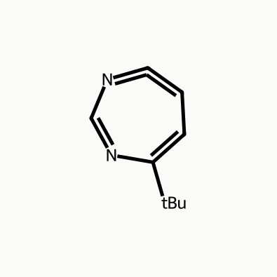 CC(C)(C)C1=CC=C=NC=N1